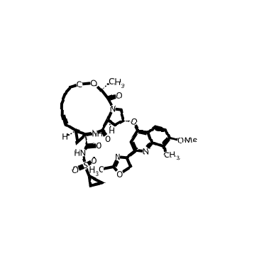 COc1ccc2c(O[C@@H]3C[C@H]4C(=O)N[C@]5(C(=O)NS(=O)(=O)C6CC6)C[C@H]5/C=C\CCCCO[C@H](C)C(=O)N4C3)cc(C3COC(C)=N3)nc2c1C